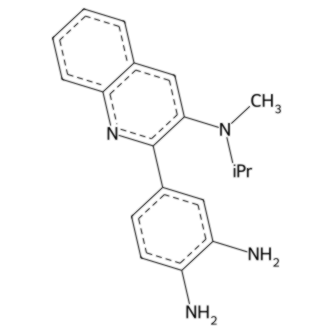 CC(C)N(C)c1cc2ccccc2nc1-c1ccc(N)c(N)c1